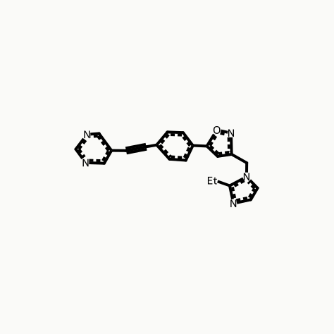 CCc1nccn1Cc1cc(-c2ccc(C#Cc3cncnc3)cc2)on1